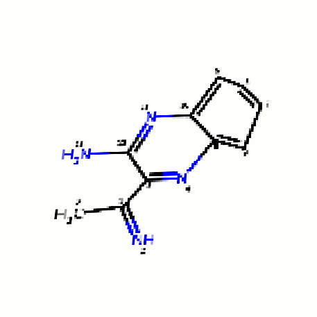 CC(=N)c1nc2ccccc2nc1N